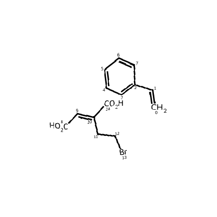 C=Cc1ccccc1.O=C(O)C=C(CCBr)C(=O)O